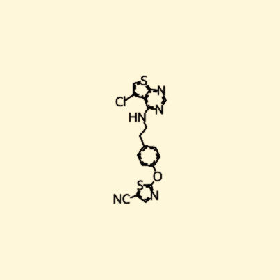 N#Cc1cnc(Oc2ccc(CCNc3ncnc4scc(Cl)c34)cc2)s1